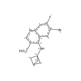 CCOC(=O)c1cnc2cc(F)c(Br)cc2c1NC12CC(C1)C2